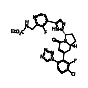 CCOC(=O)NCc1nccc(-c2cnc([C@@H]3CC[C@@H]4CC(c5c(-n6cnnn6)ccc(Cl)c5F)=CC(=O)N43)[nH]2)c1F